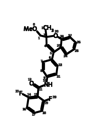 COCC1(C)C=C(c2ccc(NC(=O)c3c(F)cccc3F)cc2)c2ccccc2O1